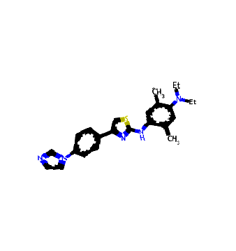 CCN(CC)c1cc(C)c(Nc2nc(-c3ccc(-n4ccnc4)cc3)cs2)cc1C